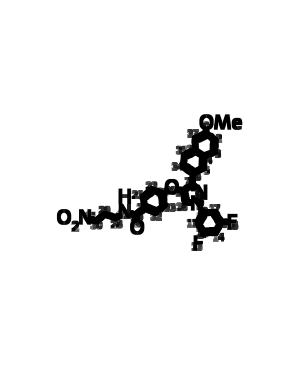 COc1ccc2cc(-c3nn(-c4cc(F)cc(F)c4)cc3Oc3ccc(C(=O)NCCC[N+](=O)[O-])cc3)ccc2c1